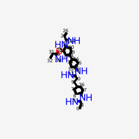 C=CC(=N)Nc1ccc(CCC(=N)Nc2ccc(-c3ccc(NC(=N)C=C)c(OC(=N)C=C)c3)cc2)cc1